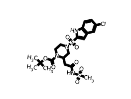 CC(C)(C)OC(=O)N1CCN(S(=O)(=O)c2cc3cc(Cl)ccc3[nH]2)CC1CC(=O)NS(C)(=O)=O